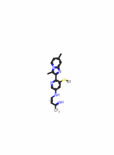 CCSc1cc(N/C=C\C(=N)C(F)(F)F)cnc1-c1nc2cc(C)ccn2c1C